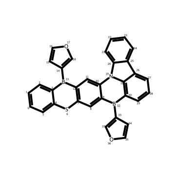 c1ccc2c(c1)Sc1cc3c(cc1B2c1ccoc1)-n1c2ccccc2c2cccc(c21)B3c1ccoc1